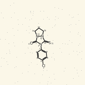 O=c1n(-c2ccc(Cl)cc2)c(=S)n2n1CCC2